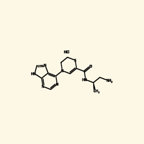 C[C@H](CN)NC(=O)C1=CN(c2ncnc3[nH]cnc23)CCS1.Cl